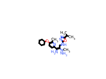 Cc1nc(/C(N)=C(\CNc2nnc(C(C)C)o2)N(C)N)ccc1OC1CCCCC1